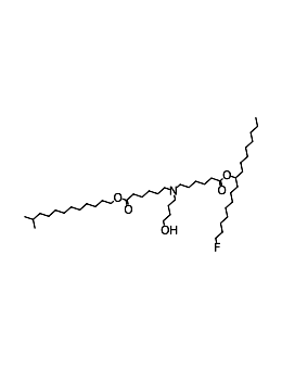 CCCCCCCCC(CCCCCCCCF)OC(=O)CCCCCN(CCCCO)CCCCCC(=O)OCCCCCCCCCCC(C)C